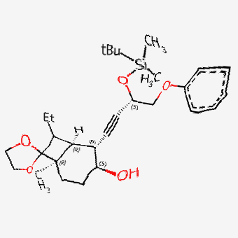 CCC1[C@H]2[C@H](C#C[C@@H](COc3ccccc3)O[Si](C)(C)C(C)(C)C)[C@@H](O)CC[C@@]2(C)C12OCCO2